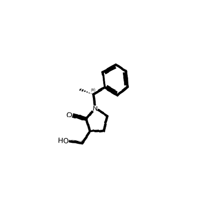 C[C@H](c1ccccc1)N1CCC(CO)C1=O